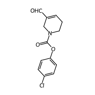 O=CC1=CCCN(C(=O)Oc2ccc(Cl)cc2)C1